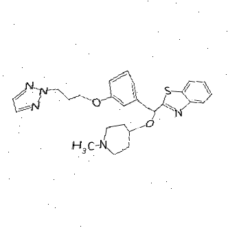 CN1CCC(OC(c2cccc(OCCCn3nccn3)c2)c2nc3ccccc3s2)CC1